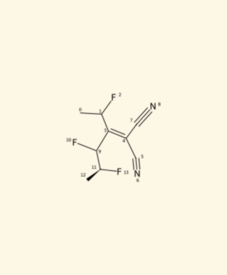 CC(F)C(=C(C#N)C#N)C(F)[C@H](C)F